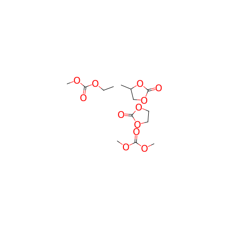 CC1COC(=O)O1.CCOC(=O)OC.COC(=O)OC.O=C1OCCO1